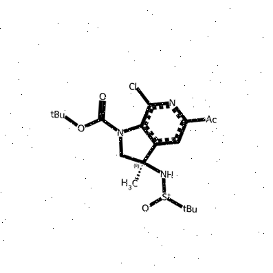 CC(=O)c1cc2c(c(Cl)n1)N(C(=O)OC(C)(C)C)C[C@]2(C)N[S+]([O-])C(C)(C)C